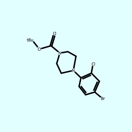 CC(C)(C)OC(=O)N1CCN(c2ccc(Br)cc2Cl)CC1